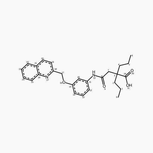 CCCC(CCC)(CC(=O)Nc1cccc(OCc2ccc3ccccc3n2)c1)C(=O)O